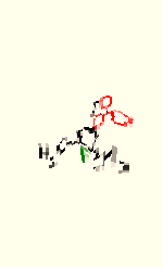 C=CC1=CC=CCC1(F)C=C.O=C1OCCO1